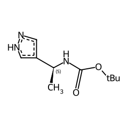 C[C@H](NC(=O)OC(C)(C)C)c1cn[nH]c1